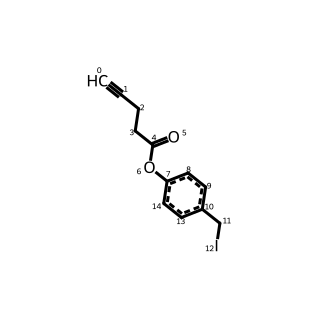 C#CCCC(=O)Oc1ccc(CI)cc1